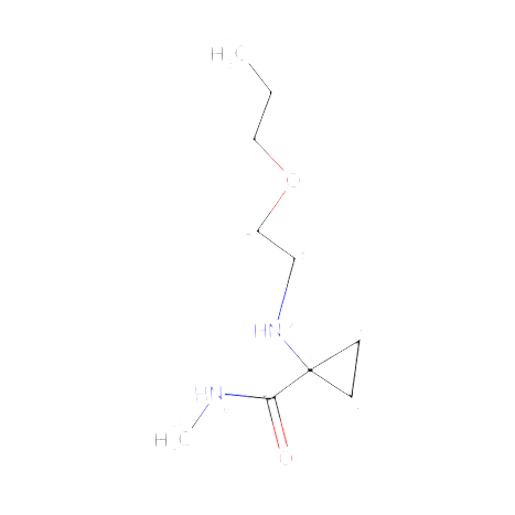 CCCOCCNC1(C(=O)NC)CC1